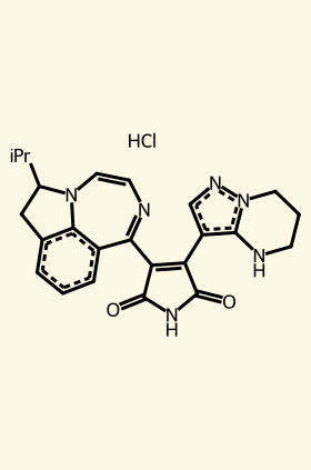 CC(C)C1Cc2cccc3c2N1C=CN=C3C1=C(c2cnn3c2NCCC3)C(=O)NC1=O.Cl